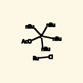 CCCCP(CCCC)(CCCC)(CCCC)OC(C)=O.[Cl][Ru]